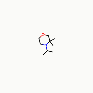 CC(C)N1CCOCC1(C)C